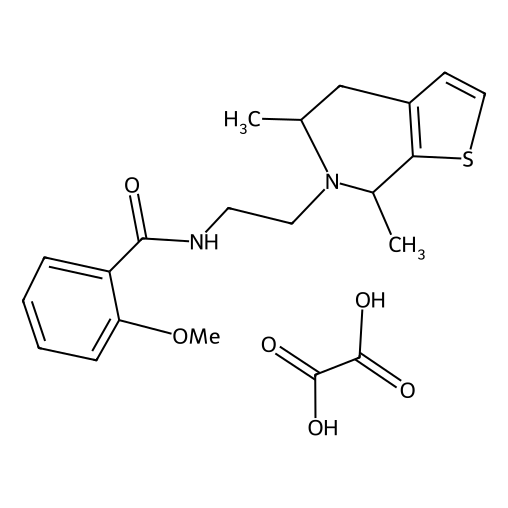 COc1ccccc1C(=O)NCCN1C(C)Cc2ccsc2C1C.O=C(O)C(=O)O